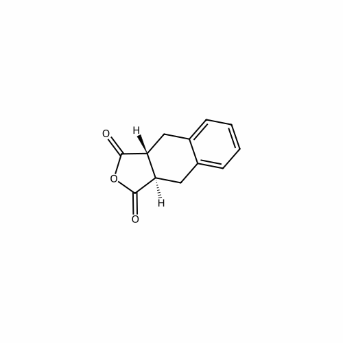 O=C1OC(=O)[C@@H]2Cc3ccccc3C[C@@H]12